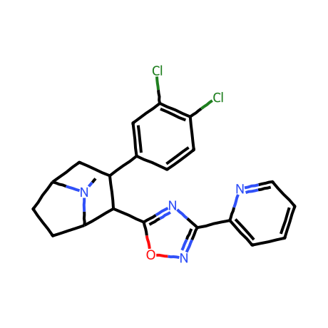 CN1C2CCC1C(c1nc(-c3ccccn3)no1)C(c1ccc(Cl)c(Cl)c1)C2